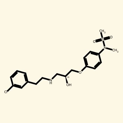 CN(c1ccc(OC[C@@H](O)CNCCc2cccc(Cl)c2)cc1)S(C)(=O)=O